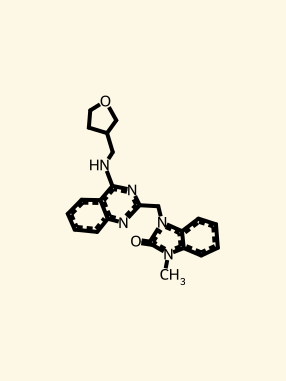 Cn1c(=O)n(Cc2nc(NCC3CCOC3)c3ccccc3n2)c2ccccc21